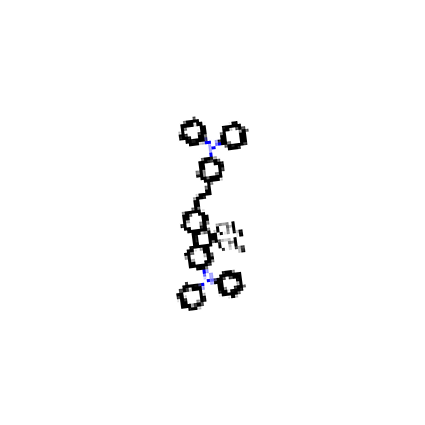 CC1(C)C2=CC(CCC3=CCC(N(c4ccccc4)C4CC=CCC4)C=C3)CCC2C2CCC(N(c3ccccc3)C3CC=CCC3)C=C21